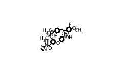 COc1ccc(CC(OP(=O)(O)c2ccc(Oc3cc(OC(C)C)cc(C(=O)Nc4nccs4)c3)cc2)c2ccc(OC)c(F)c2)cc1F